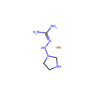 Br.NC(N)=NNN1CCNC1